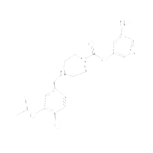 CC(C)Oc1cc(CN2CCN(C(=O)Oc3cncc(N)c3)CC2)ccc1Cl